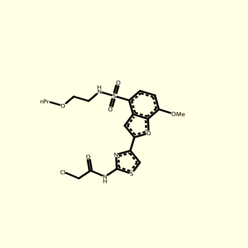 CCCOCCNS(=O)(=O)c1ccc(OC)c2oc(-c3csc(NC(=O)CCl)n3)cc12